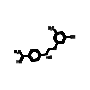 Cc1cc(O)cc(OCCc2ccc(C(=N)N)cc2)c1.Cl